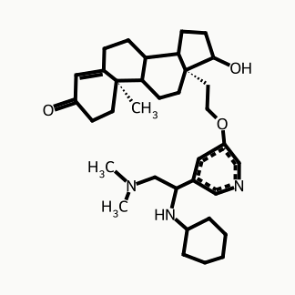 CN(C)CC(NC1CCCCC1)c1cncc(OCC[C@]23CCC4C(CCC5=CC(=O)CC[C@@]54C)C2CCC3O)c1